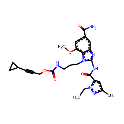 CCn1nc(C)cc1C(=O)Nc1nc2cc(C(N)=O)cc(OC)c2n1CCCNC(=O)OCC#CC1CC1